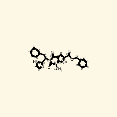 Cn1c(=O)n(C(Cc2ccccc2)c2ncc[nH]2)c(=O)c2cc(C(=O)OCc3ccccc3)sc21